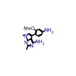 COc1cc(N)ccc1-c1cn(C)c2nc(C)nc(N)c12